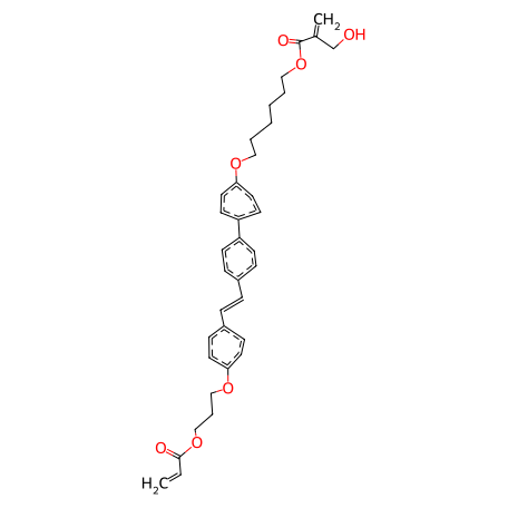 C=CC(=O)OCCCOc1ccc(/C=C/c2ccc(-c3ccc(OCCCCCCOC(=O)C(=C)CO)cc3)cc2)cc1